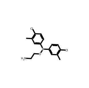 Cc1cc(B(OCCN)c2ccc(Cl)c(C)c2)ccc1Cl